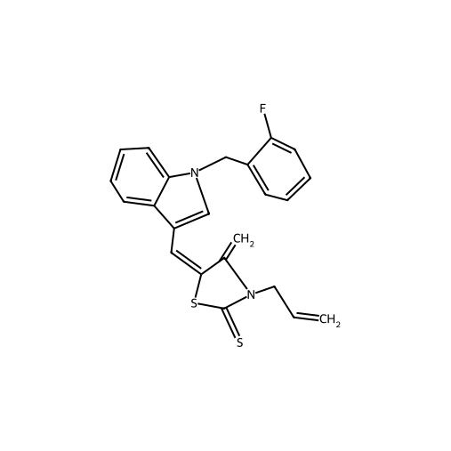 C=CCn1c(=S)s/c(=C/c2cn(Cc3ccccc3F)c3ccccc23)c1=C